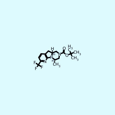 C[C@@H]1CN(C(=O)OC(C)(C)C)C[C@H]2Cc3ccc(C(F)(F)F)nc3N21